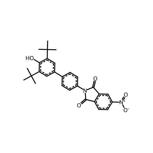 CC(C)(C)c1cc(-c2ccc(N3C(=O)c4ccc([N+](=O)[O-])cc4C3=O)cc2)cc(C(C)(C)C)c1O